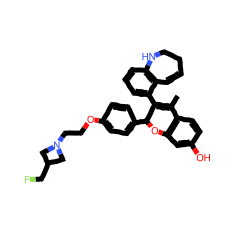 CC1=C(c2cccc3c2C=CCCN3)C(c2ccc(OCCN3CC(CF)C3)cc2)Oc2cc(O)ccc21